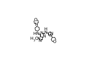 Cn1ncc2nc(Nc3cnn(C4CCOCC4)c3)nc(N[C@H]3CC[C@H](N4CCOCC4)CC3)c21